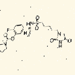 C[C@@H](NS(=O)(=O)CCCCCN1CC(=O)NC1=O)c1ccc(F)c(OC(=O)N2CCCC2)c1